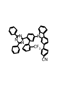 N#Cc1ccc(-c2ccc3c4ccccc4n(-c4ccc(-c5nc(-c6ccccc6)nc(-c6ccccc6)n5)c(-c5ccccc5C(F)(F)F)c4)c3c2)cc1